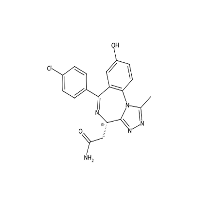 Cc1nnc2n1-c1ccc(O)cc1C(c1ccc(Cl)cc1)=N[C@H]2CC(N)=O